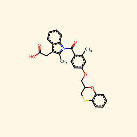 Cc1cc(OCC2CSc3ccccc3O2)ccc1C(=O)n1c(C)c(CC(=O)O)c2ccccc21